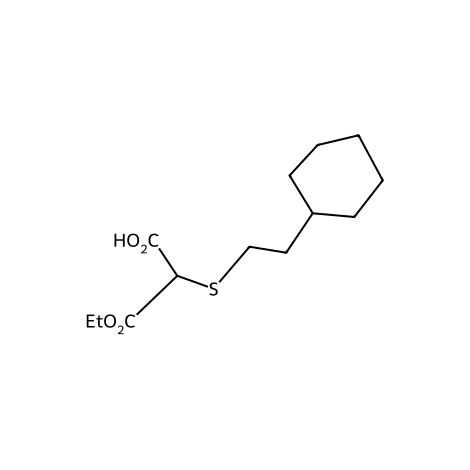 CCOC(=O)C(SCCC1CCCCC1)C(=O)O